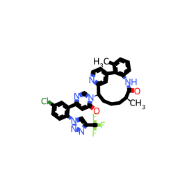 Cc1cccc2c1-c1ccnc(c1)[C@@H](n1cnc(-c3cc(Cl)ccc3-n3cc(C(F)(F)F)nn3)cc1=O)CCC[C@@H](C)C(=O)N2